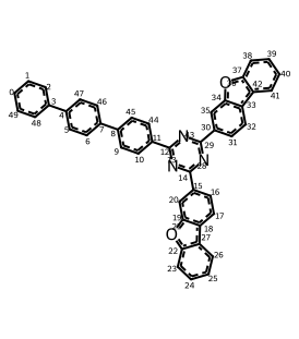 c1ccc(-c2ccc(-c3ccc(-c4nc(-c5ccc6c(c5)oc5ccccc56)nc(-c5ccc6c(c5)oc5ccccc56)n4)cc3)cc2)cc1